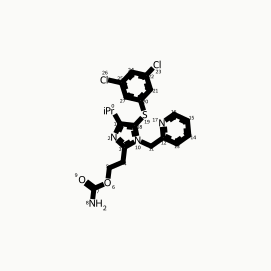 CC(C)c1nc(CCOC(N)=O)n(Cc2ccccn2)c1Sc1cc(Cl)cc(Cl)c1